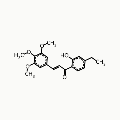 CCc1ccc(C(=O)C=Cc2cc(OC)c(OC)c(OC)c2)c(O)c1